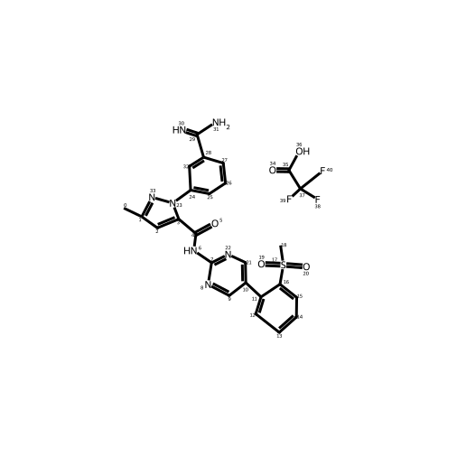 Cc1cc(C(=O)Nc2ncc(-c3ccccc3S(C)(=O)=O)cn2)n(-c2cccc(C(=N)N)c2)n1.O=C(O)C(F)(F)F